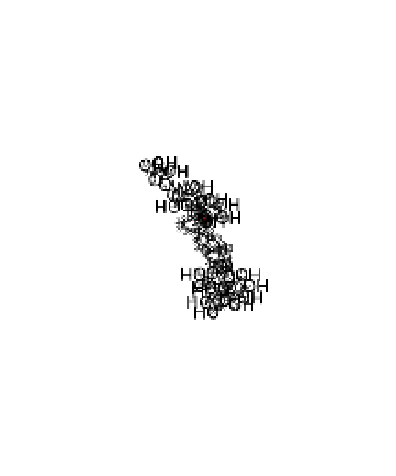 CN(C(=O)CO[C@@H]1O[C@@H](CO)C(O)C1O)[C@H]1C(CO)O[C@@H]2C(OC2(OC(=O)[C@]23CCC(C)(C)CC2C2=CCC4C5(C)CC[C@H](O[C@@H]6OC(C(=O)O)[C@@H](O)[C@H](O[C@@H]7OC[C@@H](O)[C@H](O)C7O)C6O[C@@H]6OC(CO)[C@H](O)[C@H](O)C6O)[C@](C)(C=O)[C@@H]5CC[C@]4(C)[C@]2(C)CC3O)[C@@H]2OC[C@@H](O)C(O)C2O)C1O